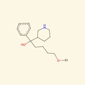 CCOCCCCC(O)(c1ccccc1)C1CCCNC1